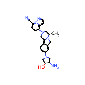 C[C@@H]1CN(c2ccc(C#N)n3nccc23)CC2=C3CC=C(N4C[C@@H](N)[C@H](O)C4)C=C3CN21